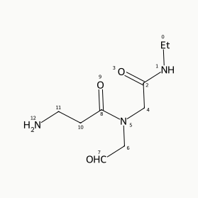 CCNC(=O)CN(CC=O)C(=O)CCN